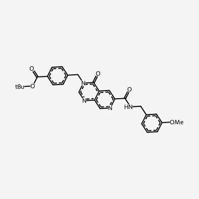 COc1cccc(CNC(=O)c2cc3c(=O)n(Cc4ccc(C(=O)OC(C)(C)C)cc4)cnc3cn2)c1